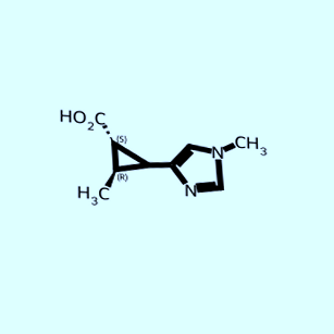 C[C@@H]1C(c2cn(C)cn2)[C@H]1C(=O)O